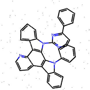 c1ccc(-c2ccnc(-n3c4ccccc4c4c5ncccc5c5c6ccccc6n(-c6ccccc6)c5c43)n2)cc1